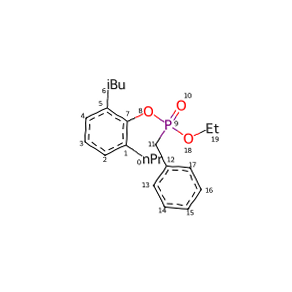 CCCc1cccc(C(C)CC)c1OP(=O)(Cc1ccccc1)OCC